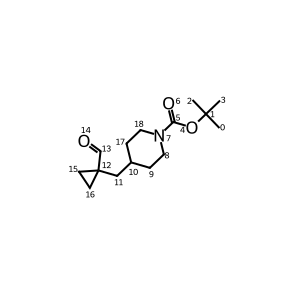 CC(C)(C)OC(=O)N1CCC(CC2(C=O)CC2)CC1